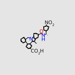 Cc1c2n(c3ccc(C(=O)N[C@@H](C)c4ccc([N+](=O)[O-])cc4)cc13)Cc1ccccc1-c1ccc(C(=O)O)cc1-2